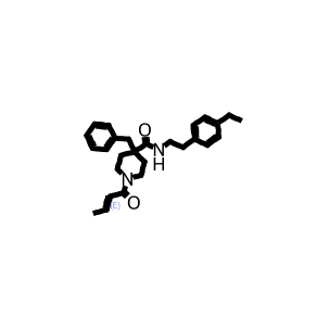 C/C=C/C(=O)N1CCC(Cc2ccccc2)(C(=O)NCCc2ccc(CC)cc2)CC1